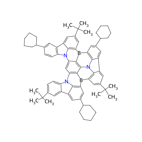 CC(C)(C)c1ccc2c(c1)c1cc(C3CCCCC3)cc3c1n2-c1cc2c4c5c1B3c1cc(C(C)(C)C)cc3c6cc(C7CCCCC7)cc(c6n-5c13)B4c1cc(C(C)(C)C)cc3c4cc(C5CCCCC5)ccc4n-2c13